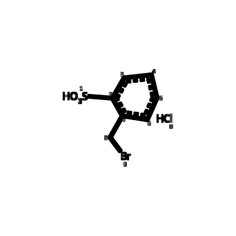 Cl.O=S(=O)(O)c1ccccc1CBr